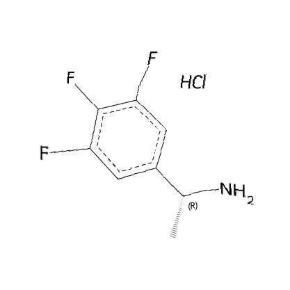 C[C@@H](N)c1cc(F)c(F)c(F)c1.Cl